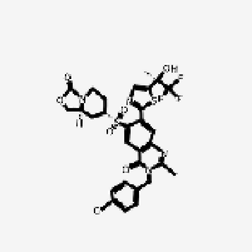 Cc1nc2cc(-c3ncc([C@@](C)(O)C(F)(F)F)s3)c(S(=O)(=O)[C@H]3CCN4C(=O)OC[C@@H]4C3)cc2c(=O)n1Cc1ccc(Cl)cc1